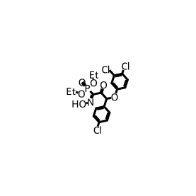 CCOP(=O)(OCC)/C(=N\O)C(=O)C(Oc1ccc(Cl)c(Cl)c1)c1ccc(Cl)cc1